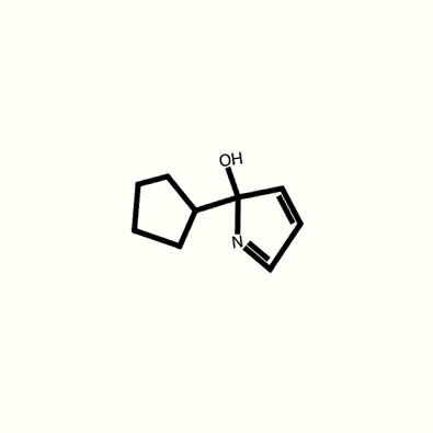 OC1(C2CCCC2)C=CC=N1